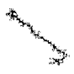 CN[C@@H](CO)C(=O)N[C@@H](CC(C)C)C(=O)N[C@@H](CO)C(=O)NCCNC(=O)COCCOCCNC(=O)COCCOCCNC(=O)CCCC[C@@H]1SC[C@@H]2NC(=O)N[C@@H]21